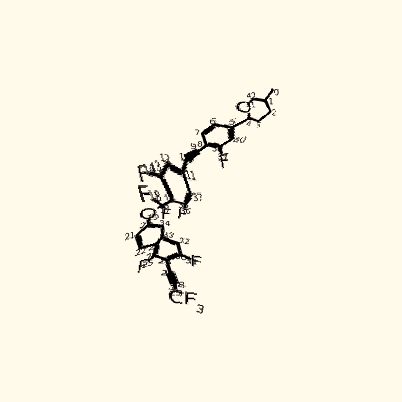 CC1CCC(c2ccc(C#Cc3cc(F)c(C(F)(F)Oc4ccc5c(F)c(C#CC(F)(F)F)c(F)cc5c4)c(F)c3)c(F)c2)OC1